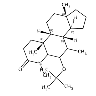 CC1C(OC(C)(C)C)C2N(C)C(=O)CC[C@]2(C)[C@@H]2CC[C@]3(C)CCC[C@H]3[C@H]12